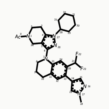 CC(=O)N1CCc2c(c(N3CCCc4cc(-c5cnn(C)c5)c(C(F)F)cc43)nn2C2CCCCC2)C1